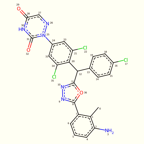 Cc1c(N)cccc1-c1nnc(C(c2ccc(Cl)cc2)c2c(Cl)cc(-n3ncc(=O)[nH]c3=O)cc2Cl)o1